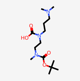 CN(C)CCCN(CCN(C)C(=O)OC(C)(C)C)C(=O)O